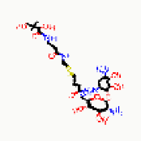 CC(C)(CO)[C@@H](O)C(=O)NCCC(=O)NCCSCCCC(=O)NC[C@H]1O[C@H](O[C@H]2[C@H](O)[C@@H](O)[C@H](N)C[C@@H]2N)[C@H](N)[C@@H](O)[C@@H]1O